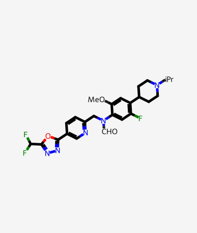 COc1cc(C2CCN(C(C)C)CC2)c(F)cc1N(C=O)Cc1ccc(-c2nnc(C(F)F)o2)cn1